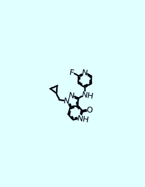 O=c1[nH]ccc2c1c(Nc1ccnc(F)c1)nn2CC1CC1